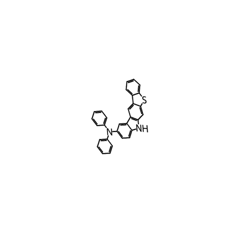 c1ccc(N(c2ccccc2)c2ccc3[nH]c4cc5sc6ccccc6c5cc4c3c2)cc1